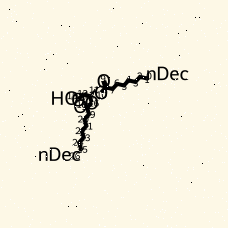 CCCCCCCCCCCCCCCCCC(=O)OC[C@H](COO)OC(=O)CCCCCCCCCCCCCCCCC